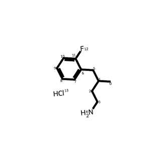 CC(CCN)Cc1ccccc1F.Cl